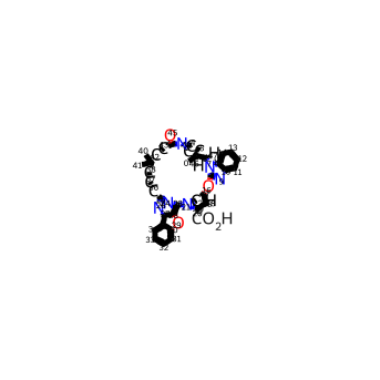 C[C@H]1CN2CC[C@@H]1n1c(nc3ccccc31)O[C@H]1C[C@@H](C(=O)O)N(C1)c1nc(nc3c1oc1ccccc13)CCCC(C)(C)CCC2=O